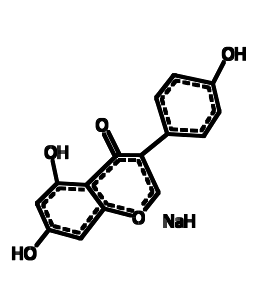 O=c1c(-c2ccc(O)cc2)coc2cc(O)cc(O)c12.[NaH]